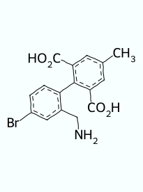 Cc1cc(C(=O)O)c(-c2ccc(Br)cc2CN)c(C(=O)O)c1